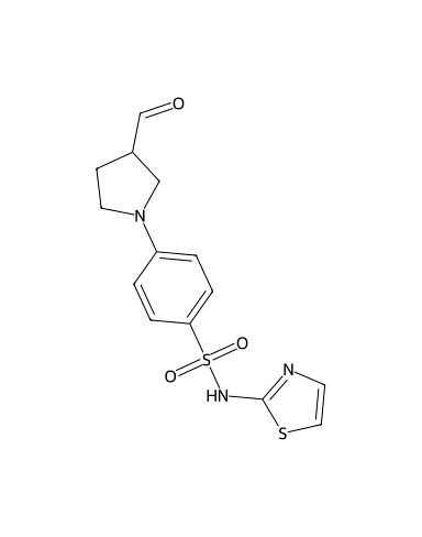 O=CC1CCN(c2ccc(S(=O)(=O)Nc3nccs3)cc2)C1